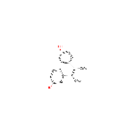 COC(=C(OC)c1cccc(O)c1)c1ccc(O)cc1